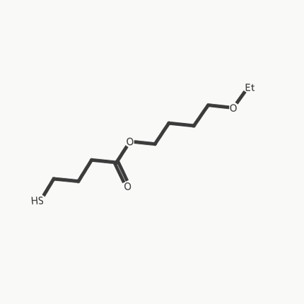 CCOCCCCOC(=O)CCCS